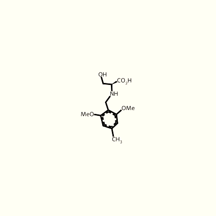 COc1cc(C)cc(OC)c1CN[C@@H](CO)C(=O)O